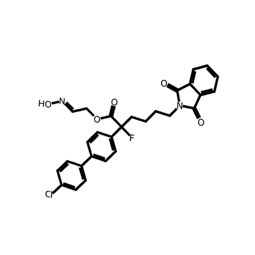 O=C1c2ccccc2C(=O)N1CCCCC(F)(C(=O)OCC=NO)c1ccc(-c2ccc(Cl)cc2)cc1